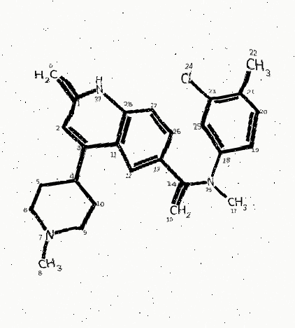 C=C1C=C(C2CCN(C)CC2)c2cc(C(=C)N(C)c3ccc(C)c(Cl)c3)ccc2N1